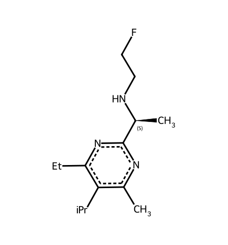 CCc1nc([C@H](C)NCCF)nc(C)c1C(C)C